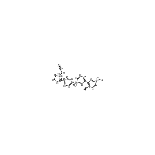 COc1ccc(F)c(-c2cccc(Oc3ccc(N4CCC[C@H]4CC#N)cc3)c2)c1